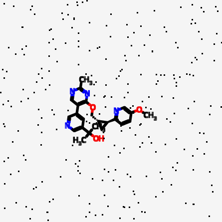 COc1ccc([C@H]2C[C@@H]2COc2nc(C)ncc2-c2cncc(C(C)(C)O)c2)nc1